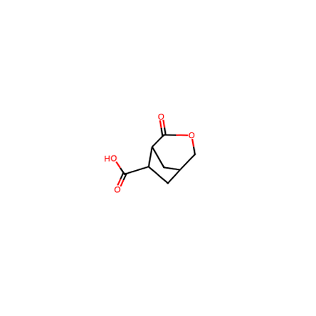 O=C(O)C1CC2COC(=O)C1C2